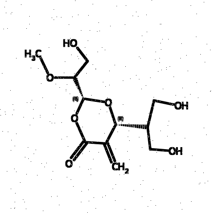 C=C1C(=O)O[C@H](C(CO)OC)O[C@@H]1C(CO)CO